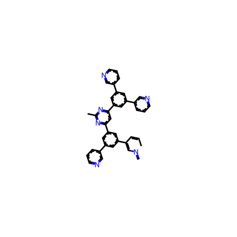 C=N/C=C(\C=C/C)c1cc(-c2cccnc2)cc(-c2cc(-c3cc(-c4cccnc4)cc(-c4cccnc4)c3)nc(C)n2)c1